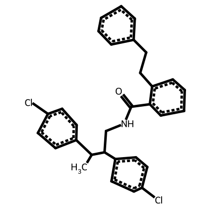 CC(c1ccc(Cl)cc1)C(CNC(=O)c1ccccc1CCc1ccccc1)c1ccc(Cl)cc1